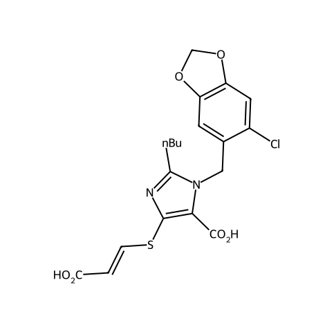 CCCCc1nc(S/C=C/C(=O)O)c(C(=O)O)n1Cc1cc2c(cc1Cl)OCO2